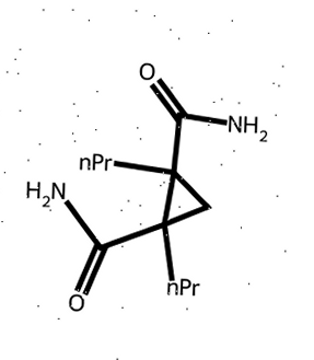 CCCC1(C(N)=O)CC1(CCC)C(N)=O